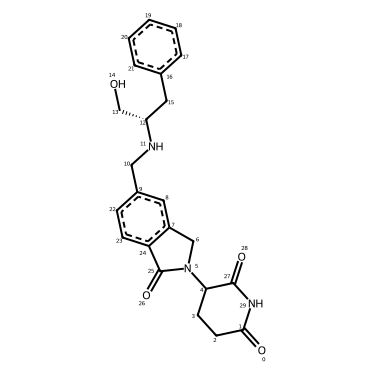 O=C1CCC(N2Cc3cc(CN[C@H](CO)Cc4ccccc4)ccc3C2=O)C(=O)N1